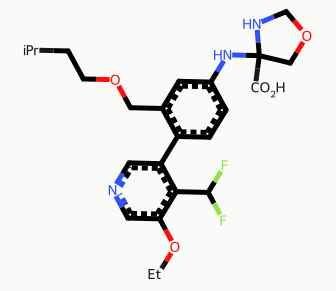 CCOc1cncc(-c2ccc(NC3(C(=O)O)COCN3)cc2COCCC(C)C)c1C(F)F